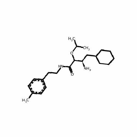 Cc1ccc(CCNC(=O)C(OC(C)C)[C@H](N)CC2CCCCC2)cc1